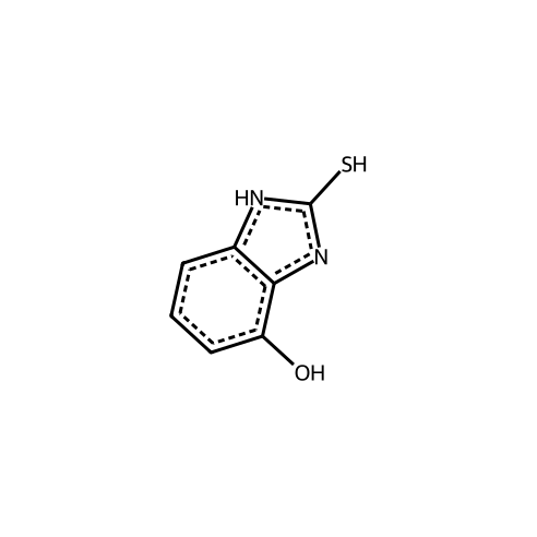 Oc1cccc2[nH]c(S)nc12